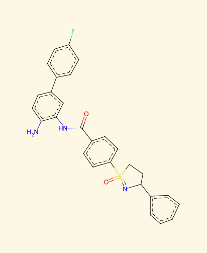 Nc1ccc(-c2ccc(F)cc2)cc1NC(=O)c1ccc(S2(=O)=NC(c3ccccc3)CC2)cc1